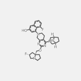 Oc1cc(N2CCc3c(nc(OC[C@@]45CCCN4C[C@H](F)C5)nc3N3C[C@H]4CC[C@@H](C3)N4)C2)c2c(F)cccc2c1